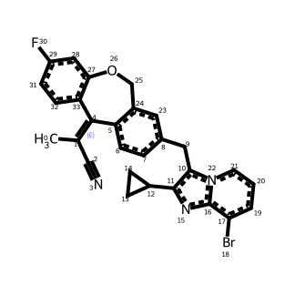 C/C(C#N)=C1/c2ccc(Cc3c(C4CC4)nc4c(Br)cccn34)cc2COc2cc(F)ccc21